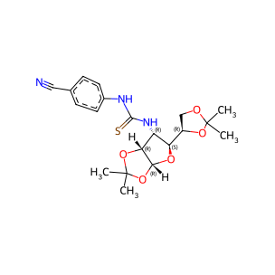 CC1(C)O[C@H]2O[C@H]([C@H]3COC(C)(C)O3)[C@@H](NC(=S)Nc3ccc(C#N)cc3)[C@H]2O1